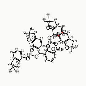 COc1cccc(COP(Oc2cccc3c2OC(C)(C)C3)Oc2cccc3c2OC(C)(C)C3)c1OP(Oc1cccc2c1OC(C)(C)C2)Oc1cccc2c1OC(C)(C)C2